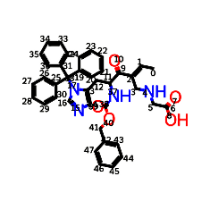 C/C=C(\CNCC(=O)O)C(=O)C(Cc1cncn1C(c1ccccc1)(c1ccccc1)c1ccccc1)NC(=O)OCc1ccccc1